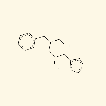 NC[C@H](Cc1ccccc1)N[C@@H](Cc1c[nH]cn1)C(=O)O